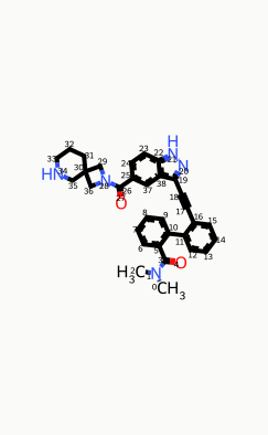 CN(C)C(=O)c1ccccc1-c1ccccc1C#Cc1n[nH]c2ccc(C(=O)N3CC4(CCCNC4)C3)cc12